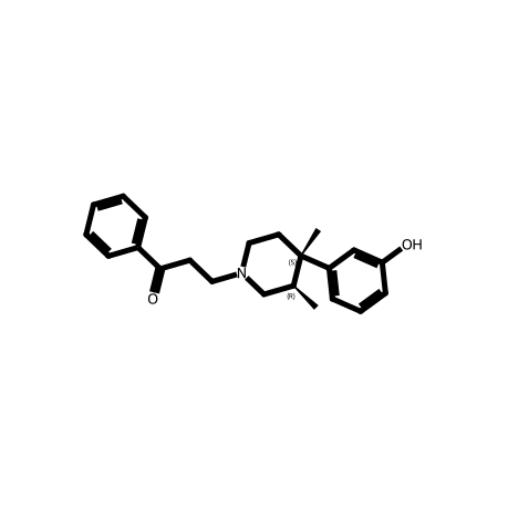 C[C@H]1CN(CCC(=O)c2ccccc2)CC[C@]1(C)c1cccc(O)c1